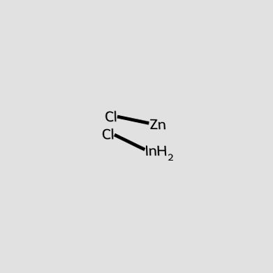 [Cl][InH2].[Cl][Zn]